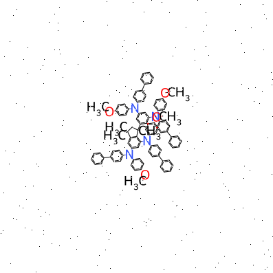 COc1ccc(N(c2ccc(-c3ccccc3)cc2)c2cc(N(c3ccc(OC)cc3)c3ccc(-c4ccccc4)cc3)cc(C3(C)CC(C)(C)c4cc(N(c5ccc(OC)cc5)c5ccc(-c6ccccc6)cc5)cc(N(c5ccc(OC)cc5)c5ccc(-c6ccccc6)cc5)c43)c2)cc1